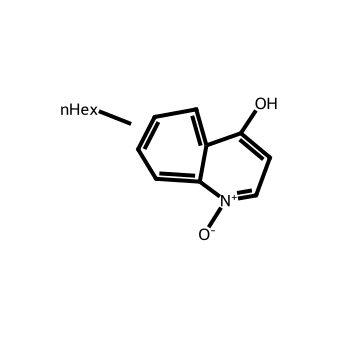 CCCCCCC.[O-][n+]1ccc(O)c2ccccc21